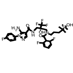 CC(C)(CCCN(C[C@@](O)(CNC(=O)c1cnn(-c2ccc(F)cc2)c1N)C(F)(F)F)C(=O)C1C(F)=CC=CC1F)[Si](C)(C)O